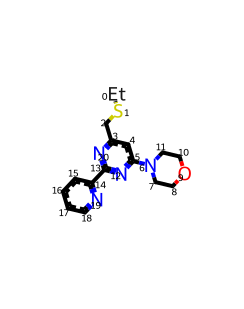 CCSCc1cc(N2CCOCC2)nc(-c2ccccn2)n1